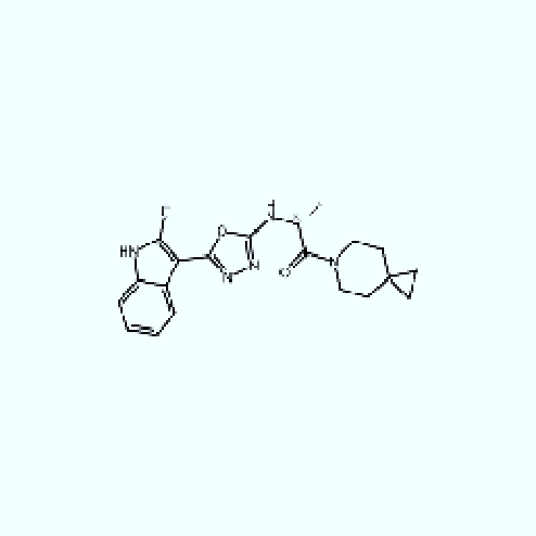 C[C@@H](Nc1nnc(-c2c(Cl)[nH]c3ccccc23)o1)C(=O)N1CCC2(CC1)CC2